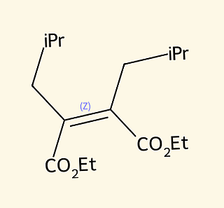 CCOC(=O)/C(CC(C)C)=C(/CC(C)C)C(=O)OCC